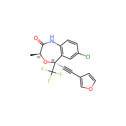 C[C@@H]1O[C@](C#Cc2ccoc2)(C(F)(F)F)c2cc(Cl)ccc2NC1=O